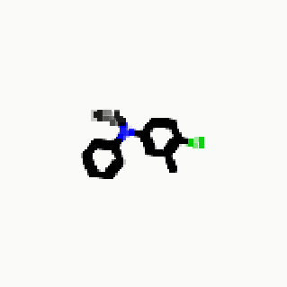 Cc1cc(N(C(=O)O)c2ccccc2)ccc1Cl